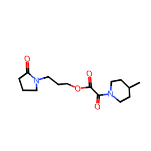 CC1CCN(C(=O)C(=O)OCCCN2CCCC2=O)CC1